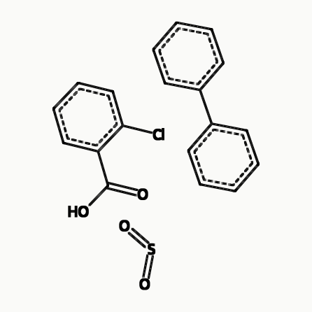 O=C(O)c1ccccc1Cl.O=S=O.c1ccc(-c2ccccc2)cc1